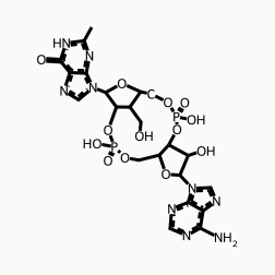 Cc1nc2c(ncn2C2OC3COP(=O)(O)OC4C(COP(=O)(O)OC2C3CO)OC(n2cnc3c(N)ncnc32)C4O)c(=O)[nH]1